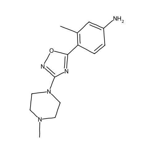 Cc1cc(N)ccc1-c1nc(N2CCN(C)CC2)no1